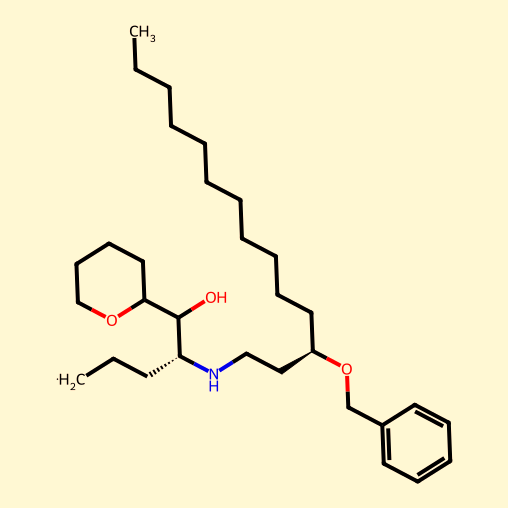 [CH2]CC[C@@H](NCC[C@@H](CCCCCCCCCCC)OCc1ccccc1)C(O)C1CCCCO1